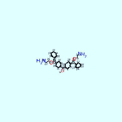 COC(c1ccc(B(OCCN)c2ccccc2)cc1)c1ccc(B(OCCN)c2ccccc2)cc1